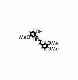 COc1ccc(O)c(CNCCc2ccc(OC)c(OC)c2)c1